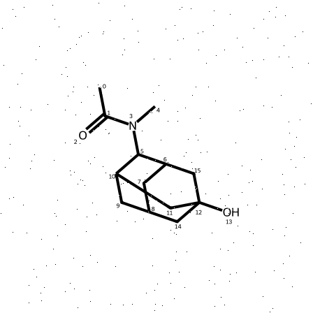 CC(=O)N(C)C1C2CC3CC1CC(O)(C3)C2